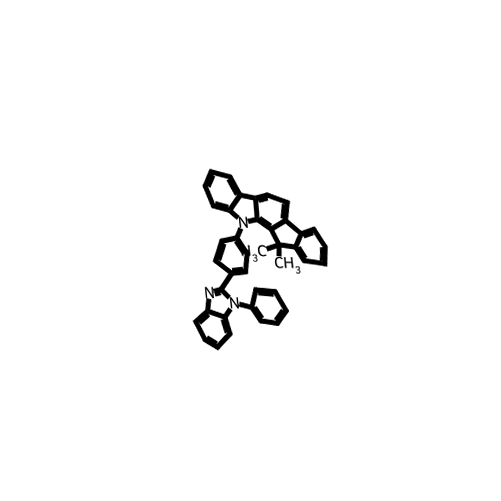 CC1(C)c2ccccc2-c2ccc3c4ccccc4n(-c4ccc(-c5nc6ccccc6n5-c5ccccc5)cc4)c3c21